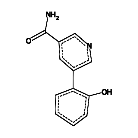 NC(=O)c1cncc(-c2ccccc2O)c1